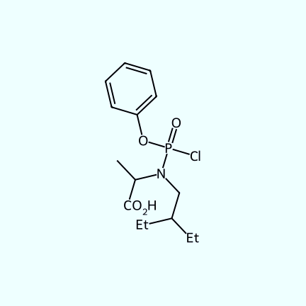 CCC(CC)CN(C(C)C(=O)O)P(=O)(Cl)Oc1ccccc1